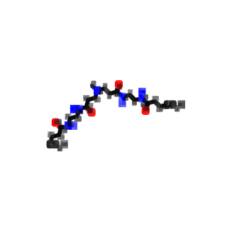 CN(CCC(=O)NCCNC(=O)CCC(=O)O)CCC(=O)NCCNC(=O)CCC(=O)O